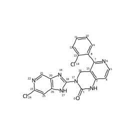 O=C1Nc2ccnc(-c3ccccc3Cl)c2CN1c1nc2cnc(Cl)cc2[nH]1